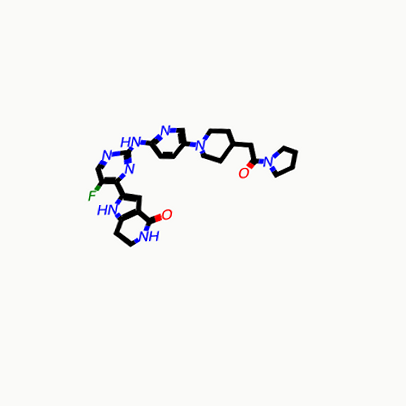 O=C1NCCc2[nH]c(-c3nc(Nc4ccc(N5CCC(CC(=O)N6CCCC6)CC5)cn4)ncc3F)cc21